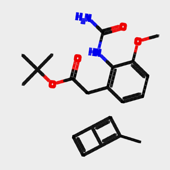 COc1cccc(CC(=O)OC(C)(C)C)c1NC(N)=O.Cc1cc2ccc1-2